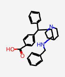 O=C(O)c1ccc(C(c2ccccc2)C2C(NCc3ccccc3)C3CCN2CC3)cc1